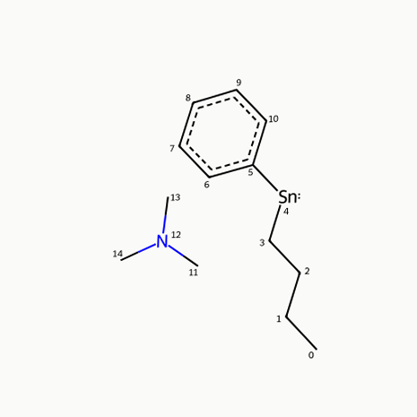 CCC[CH2][Sn][c]1ccccc1.CN(C)C